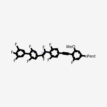 CCCCCc1cc(F)c(C#Cc2cc(F)c(/C(F)=C(\F)c3cc(F)c(-c4cc(F)c(F)c(F)c4)c(F)c3)c(F)c2)c(OC)c1